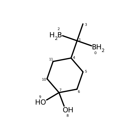 BC(B)(C)C1CCC(O)(O)CC1